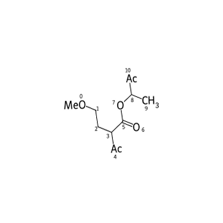 COCCC(C(C)=O)C(=O)OC(C)C(C)=O